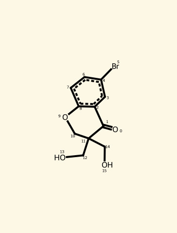 O=C1c2cc(Br)ccc2OCC1(CO)CO